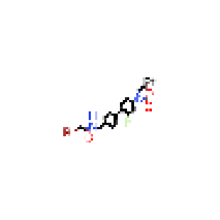 CC[C@H]1CN(c2ccc(-c3ccc(CNC(=O)CBr)cc3)c(F)c2)C(=O)O1